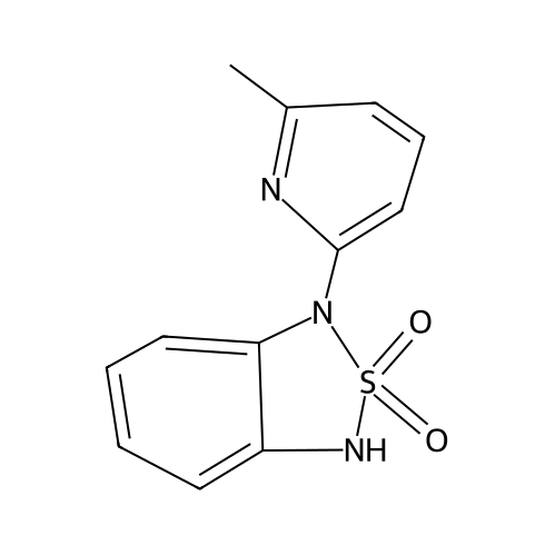 Cc1cccc(N2c3ccccc3NS2(=O)=O)n1